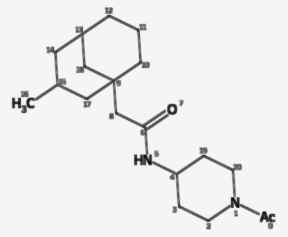 CC(=O)N1CCC(NC(=O)CC23CCCC(CC(C)C2)C3)CC1